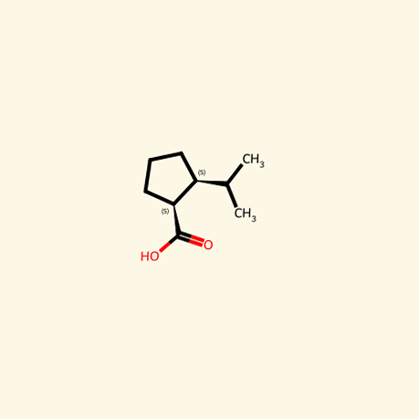 CC(C)[C@@H]1CCC[C@@H]1C(=O)O